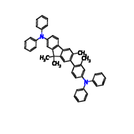 Cc1cc(N(c2ccccc2)c2ccccc2)ccc1-c1cc2c(cc1C)-c1ccc(N(c3ccccc3)c3ccccc3)cc1C2(C)C